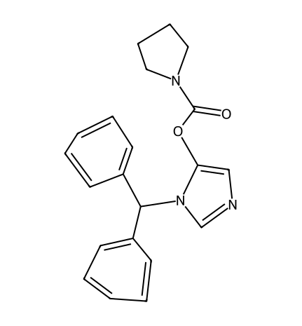 O=C(Oc1cncn1C(c1ccccc1)c1ccccc1)N1CCCC1